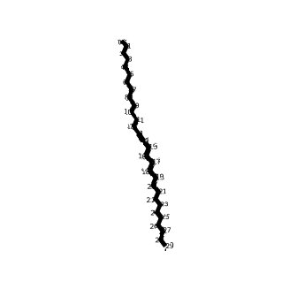 [CH2]CCCCCCCCCCCCC#CCCCCCCCCCCCCCC[CH2]